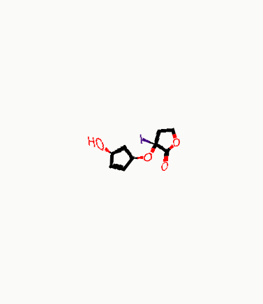 O=C1OCC[C@@]1(I)O[C@H]1C=C[C@@H](O)C1